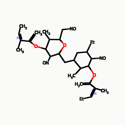 C=C(OC1C(C)C(CC2OC(CN=O)C(C)C(OC(=C)/C(C)=C\C)C2N=O)CC(CC)C1N=O)/C(C)=C\CC